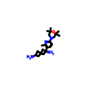 Cc1nc(N2CC(C)(C)OC(C)(C)C2)ccc1C1(N)CC2(CC(N)C2)C1